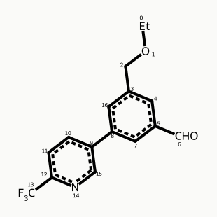 CCOCc1cc(C=O)cc(-c2ccc(C(F)(F)F)nc2)c1